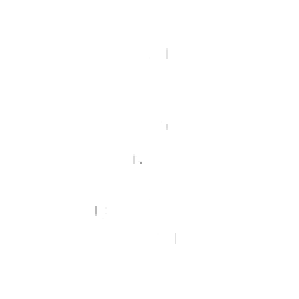 CC1CCN(C(C)(C)C)O1